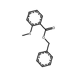 CSc1ccccc1C(=O)OCc1ccccc1